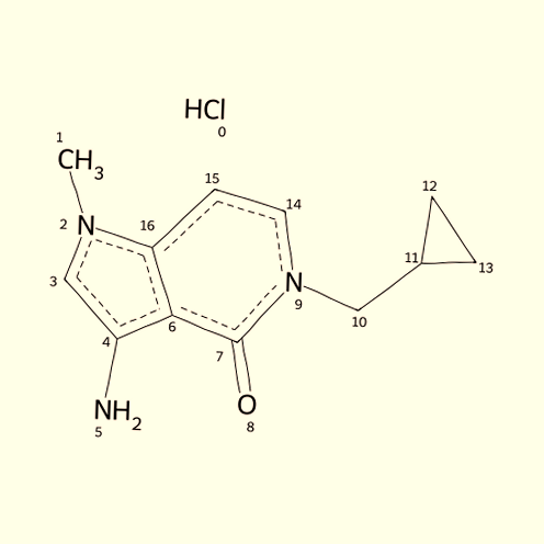 Cl.Cn1cc(N)c2c(=O)n(CC3CC3)ccc21